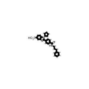 O=C(O)c1ccc2c(c1)nc(-c1ccc(C(=O)NCCCc3ccccc3)cc1)n2C1CCCC1